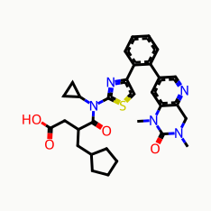 CN1Cc2ncc(-c3ccccc3-c3csc(N(C(=O)C(CC(=O)O)CC4CCCC4)C4CC4)n3)cc2N(C)C1=O